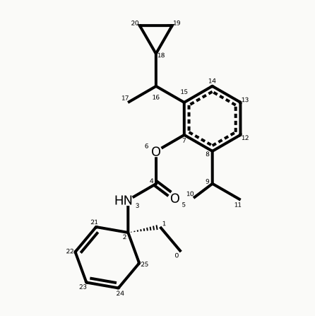 CC[C@@]1(NC(=O)Oc2c(C(C)C)cccc2C(C)C2CC2)C=CC=CC1